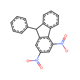 O=[N+]([O-])c1cc2c(c([N+](=O)[O-])c1)-c1ccccc1C2c1ccccc1